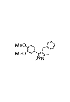 COc1ccc(-c2c(Cc3ccccc3)c(C)nn2C)cc1OC